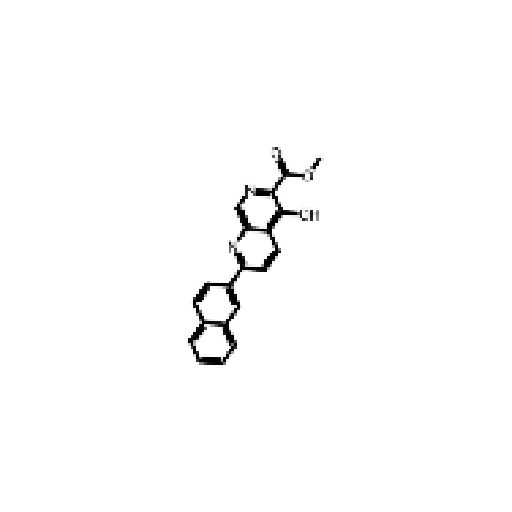 COC(=O)c1ncc2nc(-c3ccc4ccccc4c3)ccc2c1O